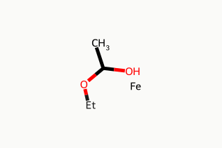 CCOC(C)O.[Fe]